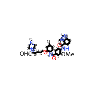 COc1cc(C(=O)N(C)c2ccc(C)cc2OCCCCC(C=O)N2CCN(C)CC2)ccc1NC(=O)c1cccc2ncn(C)c12